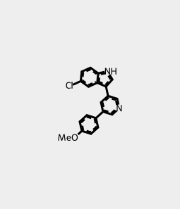 COc1ccc(-c2cncc(-c3c[nH]c4ccc(Cl)cc34)c2)cc1